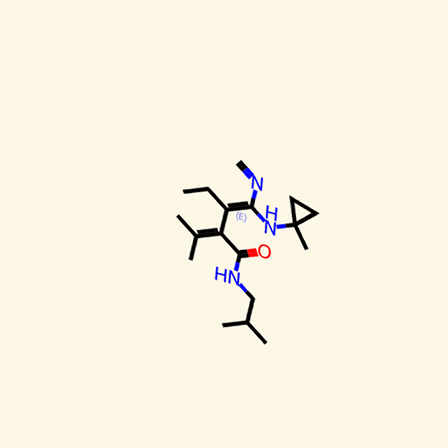 C=N/C(NC1(C)CC1)=C(\CC)C(C(=O)NCC(C)C)=C(C)C